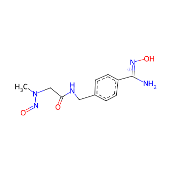 CN(CC(=O)NCc1ccc(/C(N)=N/O)cc1)N=O